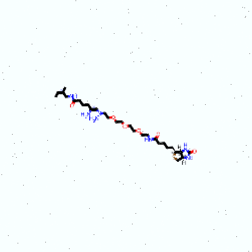 C/C=C(/C)CNC(=O)CCC/C(N)=C/N(N)CCOCCOCCOCCNC(=O)CCCC[C@@H]1SC[C@@H]2NC(=O)N[C@@H]21